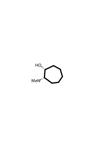 CN[C@H]1CCCCC[C@H]1O